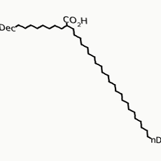 CCCCCCCCCCCCCCCCCCCCCCCCCCCCCCCCCCC(CCCCCCCCCCCCCCCCCC)C(=O)O